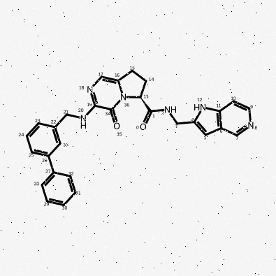 O=C(NCc1cc2cnccc2[nH]1)[C@@H]1CCc2cnc(NCc3cccc(-c4ccccc4)c3)c(=O)n21